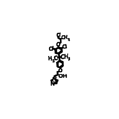 C[C@@H](CCl)COc1c(Cl)cc(C(C)(C)c2ccc(OC[C@H](O)Cn3ccnc3)cc2)cc1Cl